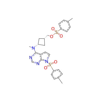 Cc1ccc(S(=O)(=O)OC[C@H]2C[C@@H](N(C)c3ncnc4c3ccn4S(=O)(=O)c3ccc(C)cc3)C2)cc1